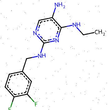 [CH2]CNc1nc(NCc2ccc(F)c(F)c2)ncc1N